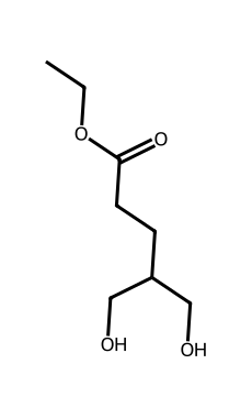 CCOC(=O)CCC(CO)CO